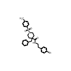 CCc1ccc(CCNC(=O)C2(Cc3ccccc3)CCN(S(=O)(=O)c3ccc(C)cc3)CC2)cc1